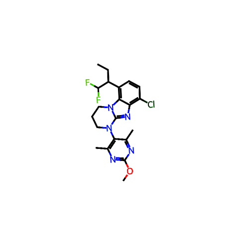 CCC(c1ccc(Cl)c2nc3n(c12)CCCN3c1c(C)nc(OC)nc1C)C(F)F